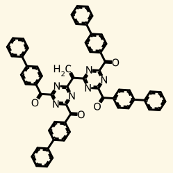 C=C(c1nc(C(=O)c2ccc(-c3ccccc3)cc2)nc(C(=O)c2ccc(-c3ccccc3)cc2)n1)c1nc(C(=O)c2ccc(-c3ccccc3)cc2)nc(C(=O)c2ccc(-c3ccccc3)cc2)n1